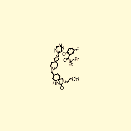 CCN(C(=O)c1cc(F)ccc1Oc1nncnc1N1CC2(CCN(CC3CCC4(CC3)CN(CCO)C(=O)N4)CC2)C1)C(C)C